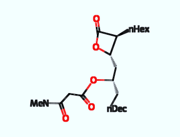 CCCCCCCCCCC[C@@H](C[C@@H]1OC(=O)[C@H]1CCCCCC)OC(=O)CC(=O)NC